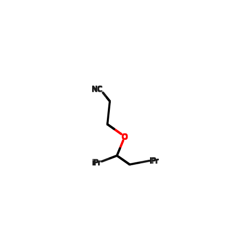 CC(C)CC(OCCC#N)C(C)C